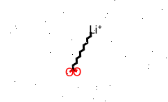 CCCCCCCCCCCC(=O)[O-].[Li+]